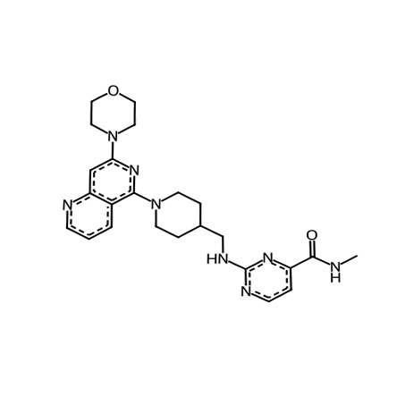 CNC(=O)c1ccnc(NCC2CCN(c3nc(N4CCOCC4)cc4ncccc34)CC2)n1